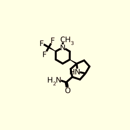 CN1C[C@@H](C23CCC(CC(C(N)=O)C2)N3)CC[C@H]1C(F)(F)F